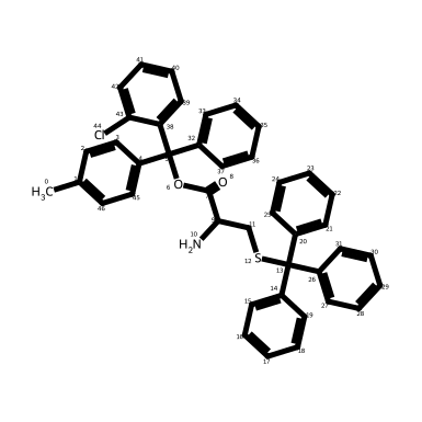 Cc1ccc(C(OC(=O)C(N)CSC(c2ccccc2)(c2ccccc2)c2ccccc2)(c2ccccc2)c2ccccc2Cl)cc1